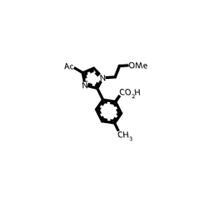 COCCn1cc(C(C)=O)nc1-c1ccc(C)cc1C(=O)O